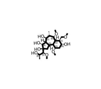 COC[C@@H]1[C@@H]2C([C@@H](OC)C[C@H]1O)[C@@H]1C[C@](O)([C@@H](OC)[C@@H](C)O)[C@H](O)[C@@H]1[C@@H](O)[C@H](C)[C@@H]2OC